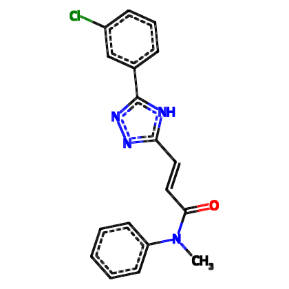 CN(C(=O)C=Cc1nnc(-c2cccc(Cl)c2)[nH]1)c1ccccc1